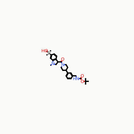 CN1CC(C(=O)N2CCC(c3cccc(CNC(=O)OC(C)(C)C)c3)CC2)c2ccc([Si](C)(C)O)cc21